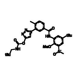 COc1c(NC(=O)c2ccc(C)c(-n3cc(OC(=O)NCC(C)(C)C)nn3)c2)cc(C(C)(C)C)cc1[S+](C)[O-]